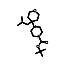 CC(C)CC1(N2CCN(C(=O)OC(C)(C)C)CC2)CCOCC1